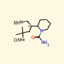 CNC[C@H](CC(C)(C)OC)C1CCCCN1C(N)=O